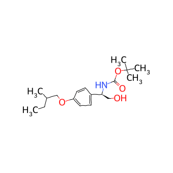 CCC(C)COc1ccc([C@H](CO)NC(=O)OC(C)(C)C)cc1